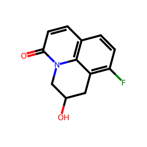 O=c1ccc2ccc(F)c3c2n1CC(O)C3